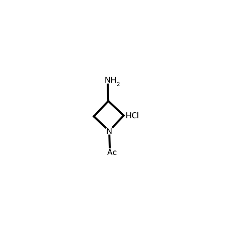 CC(=O)N1CC(N)C1.Cl